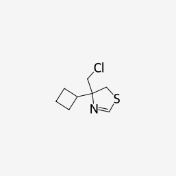 ClCC1(C2CCC2)CSC=N1